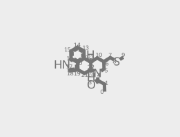 CCC(=O)N1CC(CSC)C[C@@H]2c3cccc4[nH]cc(c34)C[C@H]21